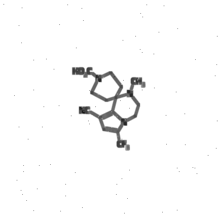 CN1CCn2c(C(F)(F)F)cc(C#N)c2C12CCN(C(=O)O)CC2